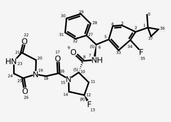 CC1(c2ccc([C@@H](NC(=O)[C@@H]3C[C@@H](F)CN3C(=O)CN3CC(=O)NCC3=O)c3ccccc3)cc2F)CC1